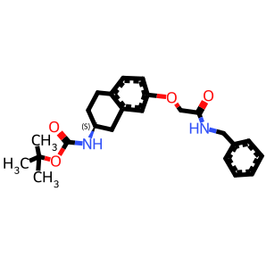 CC(C)(C)OC(=O)N[C@H]1CCc2ccc(OCC(=O)NCc3ccccc3)cc2C1